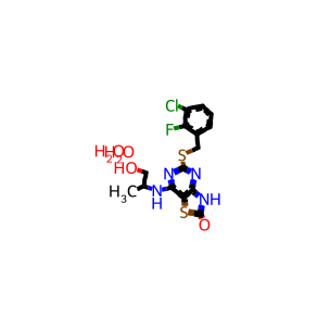 CC(CO)Nc1nc(SCc2cccc(Cl)c2F)nc2[nH]c(=O)sc12.O.O